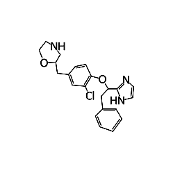 Clc1cc(CC2CNCCO2)ccc1OC(Cc1ccccc1)c1ncc[nH]1